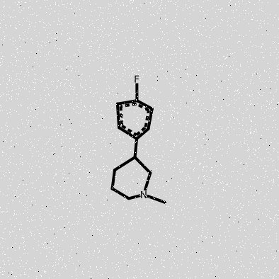 CN1CCCC(c2ccc(F)cc2)C1